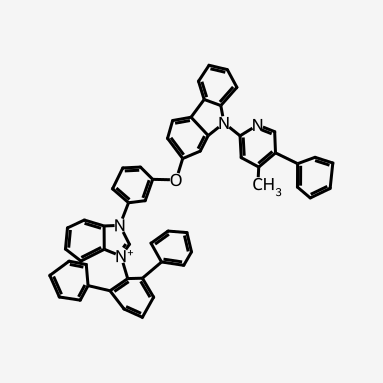 Cc1cc(-n2c3ccccc3c3ccc(Oc4cccc(-n5c[n+](-c6c(-c7ccccc7)cccc6-c6ccccc6)c6ccccc65)c4)cc32)ncc1-c1ccccc1